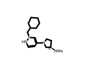 CN[C@@H]1CCN(C2=CN(CC3CCCCC3)NC=C2)C1